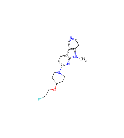 Cn1c2ccncc2c2ccc(N3CCC(OCCF)CC3)nc21